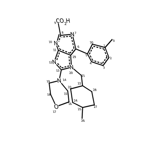 Cc1cccc(-c2nc(C(=O)O)nc3nc(N4CCOCC4)n(CC4CCC(C)CC4)c23)c1